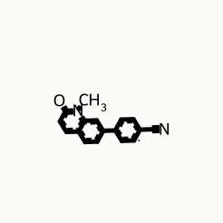 Cn1c(=O)ccc2ccc(-c3c[c]c(C#N)cc3)cc21